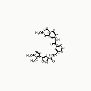 Cc1c(-c2cc(C(=O)NCc3cccc(C(=O)Nc4ccc5c(c4)CN(C)CC5)c3)no2)cnn1C